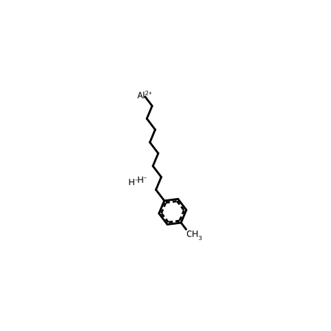 Cc1ccc(CCCCCCC[CH2][Al+2])cc1.[H-].[H-]